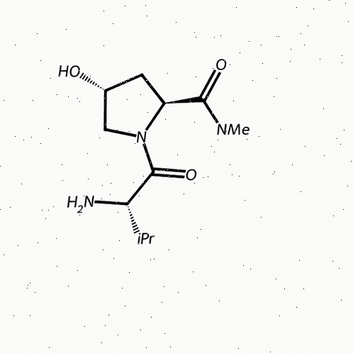 CNC(=O)[C@@H]1C[C@@H](O)CN1C(=O)[C@@H](N)C(C)C